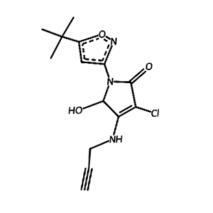 C#CCNC1=C(Cl)C(=O)N(c2cc(C(C)(C)C)on2)C1O